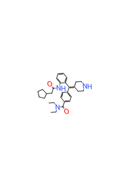 CCN(CC)C(=O)c1ccc(C(=C2CCNCC2)c2ccccc2NC(=O)CC2CCCC2)cc1